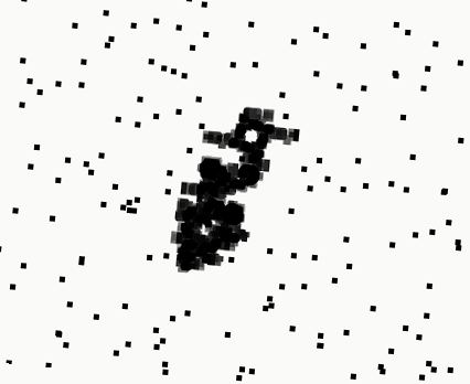 CC(C)C[C@H](NC(=O)C[C@H](O)[C@H](CC(C)C)NC(O)[C@H](Cc1c[nH]cn1)NC(=O)CNC(=O)[C@@H](NC(=O)[C@H](C)NC(=O)[C@H](Cc1c[nH]c2ccccc12)NC(=O)[C@H](CCO)NC(=O)[C@@H](Cc1ccccc1)NC(=O)CN1CCC(NC(=O)CN2CCN(CC(=O)O)CCN(CC(=O)O)CCN(CC(=O)O)CC2)CC1)C(C)C)C(N)=O